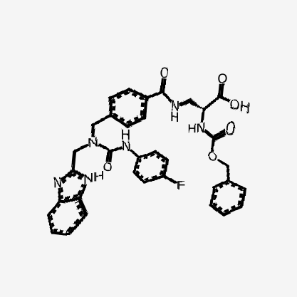 O=C(N[C@@H](CNC(=O)c1ccc(CN(Cc2nc3ccccc3[nH]2)C(=O)Nc2ccc(F)cc2)cc1)C(=O)O)OCc1ccccc1